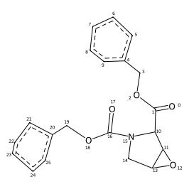 O=C(OCc1ccccc1)C1C2OC2CN1C(=O)OCc1ccccc1